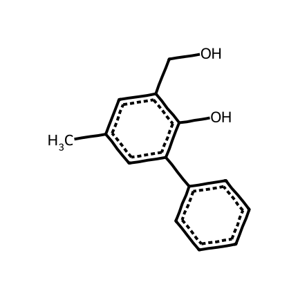 Cc1cc(CO)c(O)c(-c2ccccc2)c1